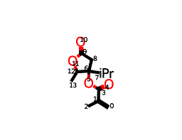 C=C(C)C(=O)OC1(C(C)C)CC(=O)OC1C